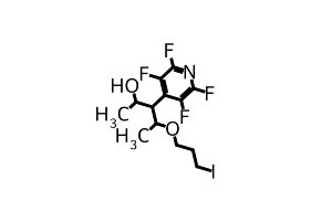 CC(O)C(c1c(F)c(F)nc(F)c1F)C(C)OCCCI